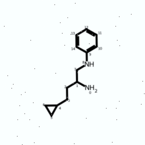 NC(CCC1CC1)CNc1ccccc1